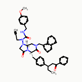 C#CCN(C(=O)NCc1ccc(OC)cc1)N1CC(=O)N2[C@@H](Cc3ccc(C(CC)CC(=O)c4ccccc4)cc3)C(=O)N(Cc3cccc4ccccc34)C[C@@H]21